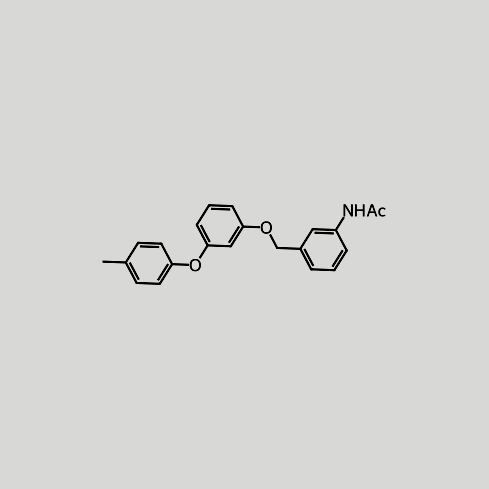 CC(=O)Nc1cccc(COc2cccc(Oc3ccc(C)cc3)c2)c1